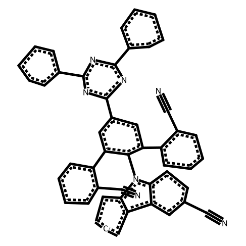 N#Cc1ccc2c(c1)c1ccccc1n2-c1c(-c2ccccc2C#N)cc(-c2nc(-c3ccccc3)nc(-c3ccccc3)n2)cc1-c1ccccc1C#N